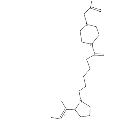 C=C(CCCCCN1CCCC1/C(C)=C/C)N1CCN(CC(C)=O)CC1